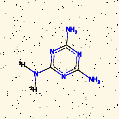 [2H]N([2H])c1nc(N)nc(N)n1